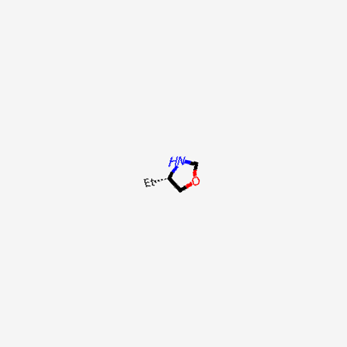 CC[C@H]1COCN1